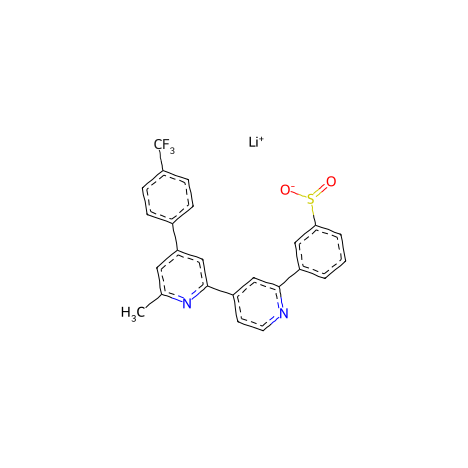 Cc1cc(-c2ccc(C(F)(F)F)cc2)cc(-c2ccnc(-c3cccc(S(=O)[O-])c3)c2)n1.[Li+]